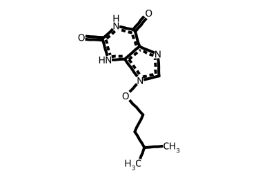 CC(C)CCOn1cnc2c(=O)[nH]c(=O)[nH]c21